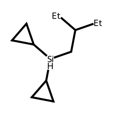 CCC(CC)C[SiH](C1CC1)C1CC1